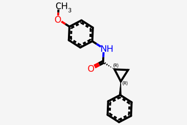 COc1ccc(NC(=O)[C@@H]2C[C@H]2c2ccccc2)cc1